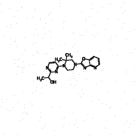 CC(O)c1nccc(N2CCN(c3nc4ncccc4o3)CC2(C)C)n1